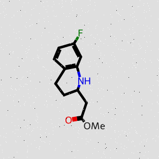 COC(=O)CC1CCc2ccc(F)cc2N1